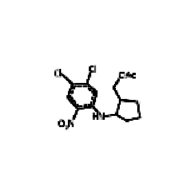 CC(=O)OC[C]1[CH]CCC1Nc1cc(Cl)c(Cl)cc1[N+](=O)[O-]